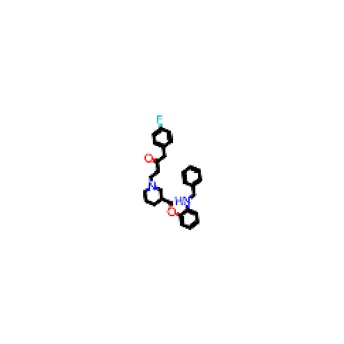 O=C(CCN1CCCC(COc2ccccc2NCc2ccccc2)C1)Cc1ccc(F)cc1